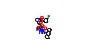 O=C(Nc1c2c(cc3c1CCC3)CCC2)NS(=O)(=O)/C=C/C1CCCN1S(=O)(=O)c1cccc(F)c1